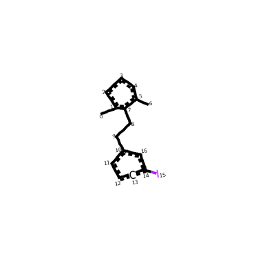 Cc1cccc(C)c1CCc1cccc(I)c1